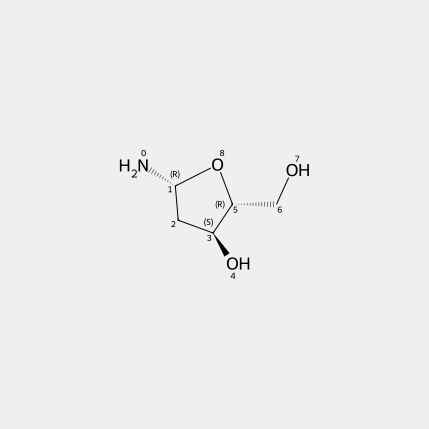 N[C@H]1C[C@H](O)[C@@H](CO)O1